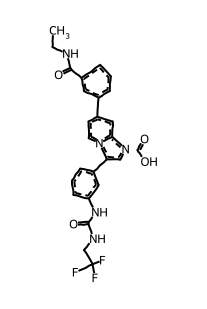 CCNC(=O)c1cccc(-c2ccn3c(-c4cccc(NC(=O)NCC(F)(F)F)c4)cnc3c2)c1.O=CO